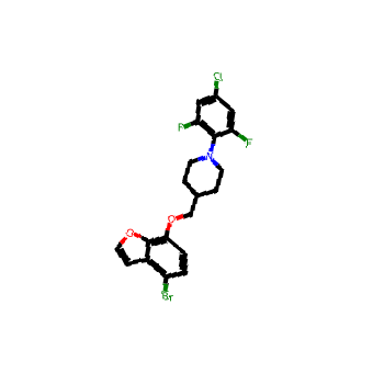 Fc1cc(Cl)cc(F)c1N1CCC(COc2ccc(Br)c3ccoc23)CC1